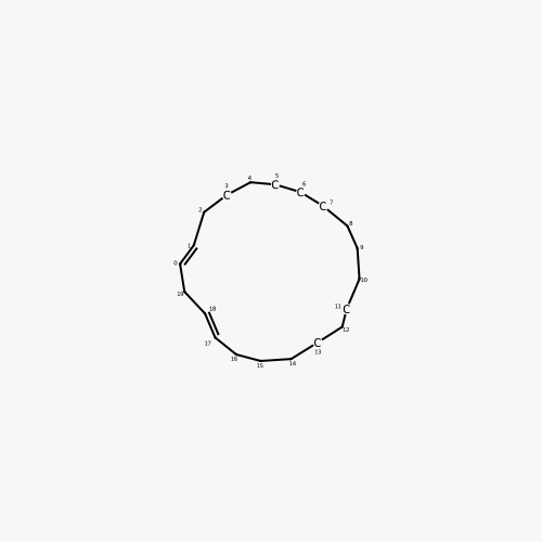 C1=C/CCCCCCCCCCCCCCC/C=C/C/1